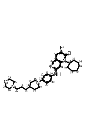 O=c1c(F)cc2cnc(Nc3ccc(N4CCC(CCCN5CCOCC5)CC4)cc3)cc2n1C1CCCCCC1